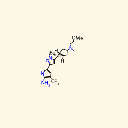 CCC(C)n1nc(-c2cnc(N)c(C(F)(F)F)c2)cc1[C@H]1[C@@H]2CC(N(C)CCOC)C[C@@H]21